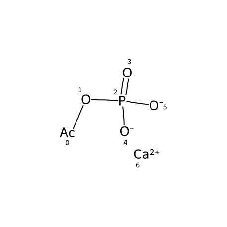 CC(=O)OP(=O)([O-])[O-].[Ca+2]